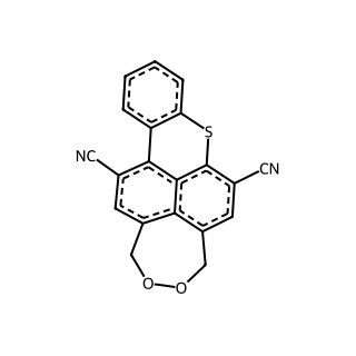 N#Cc1cc2c3c(cc(C#N)c4c3c1Sc1ccccc1-4)COOC2